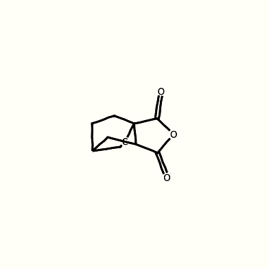 O=C1OC(=O)C23CCC(CC2)CC13